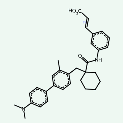 Cc1cc(-c2ccc(N(C)C)cc2)ccc1CC1(C(=O)Nc2cccc(/C=C/C(=O)O)c2)CCCCC1